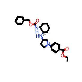 CCOC(=O)c1ccc(N2CCC(N[C@@H]3CCCC[C@H]3NC(=O)OCc3ccccc3)C2)cc1